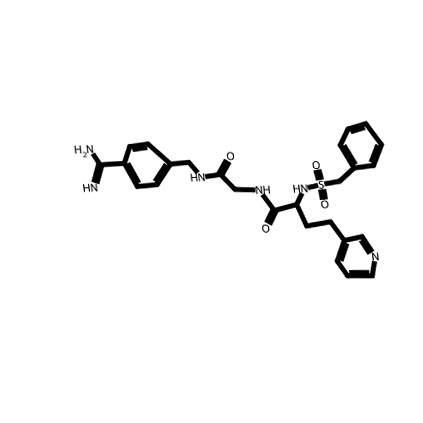 N=C(N)c1ccc(CNC(=O)CNC(=O)C(CCc2cccnc2)NS(=O)(=O)Cc2ccccc2)cc1